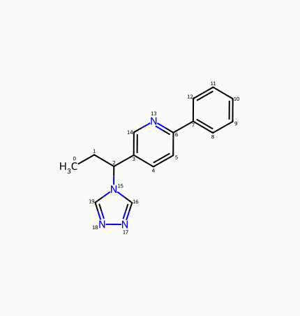 CCC(c1ccc(-c2ccccc2)nc1)n1cnnc1